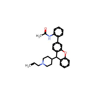 C=CCN1CCC(C2c3ccccc3Oc3cc(-c4ccccc4NC(C)=O)ccc32)CC1